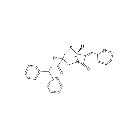 O=C1C(=Cc2ccccn2)[C@H]2SCC(Br)(C(=O)OC(c3ccccc3)c3ccccc3)CN12